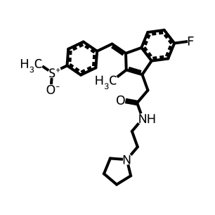 CC1=C(CC(=O)NCCN2CCCC2)c2cc(F)ccc2/C1=C/c1ccc([S+](C)[O-])cc1